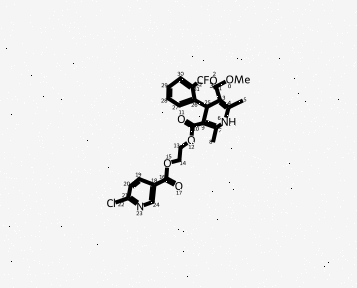 COC(=O)C1=C(C)NC(C)=C(C(=O)OCCOC(=O)c2ccc(Cl)nc2)C1c1ccccc1C(F)(F)F